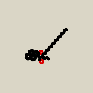 CCCCCCCCCCCCCCCC(=O)C(CCC)C(C=O)c1ccc2ccc3cccc4ccc1c2c34